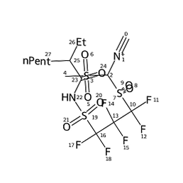 C#[N+]C(S(C)(=O)=O)S(=O)(=O)C(F)(F)C(F)(F)C(F)(F)S(=O)(=O)NC(=O)C(CC)CCCCC